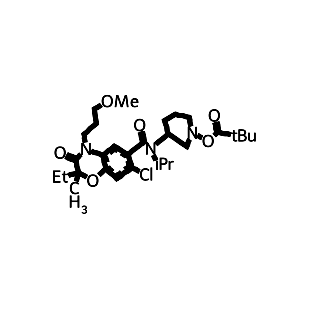 CCC1(C)Oc2cc(Cl)c(C(=O)N(C(C)C)C3CCCN(OC(=O)C(C)(C)C)C3)cc2N(CCCOC)C1=O